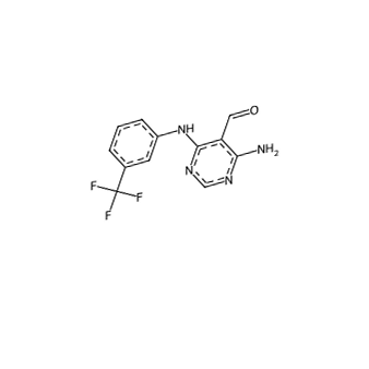 Nc1ncnc(Nc2cccc(C(F)(F)F)c2)c1C=O